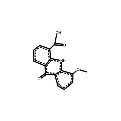 COc1cccc2c(=O)c3cccc(C(=O)O)c3[nH]c12